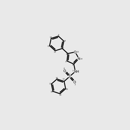 O=S(=O)(Nc1cc(-c2ccccc2)on1)c1ccccc1